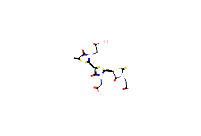 C=c1s/c(=c2/s/c(=C3\SC(=S)N(CC(=O)O)C3=O)n(CC(=O)O)c2=O)n(CC(=O)O)c1=O